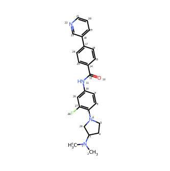 CN(C)C1CCN(c2ccc(NC(=O)c3ccc(-c4cccnc4)cc3)cc2F)C1